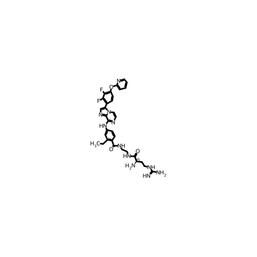 CCc1cc(Nc2nccn3c(-c4ccc(Oc5ccccn5)c(F)c4F)cnc23)ccc1C(=O)NCCNC(=O)[C@H](N)CCNC(=N)N